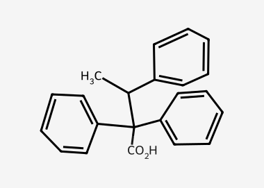 CC(c1ccccc1)C(C(=O)O)(c1ccccc1)c1ccccc1